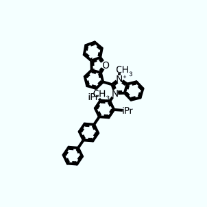 Cc1ccc2c(oc3ccccc32)c1-c1n(-c2c(C(C)C)cc(-c3ccc(-c4ccccc4)cc3)cc2C(C)C)c2ccccc2[n+]1C